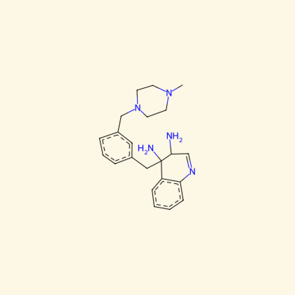 CN1CCN(Cc2cccc(CC3(N)c4ccccc4N=CC3N)c2)CC1